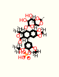 [2H]C([2H])([2H])Oc1cc([C@@H]2c3cc4c(cc3[C@@H](O[C@@H]3O[C@@H]5CO[C@@H](C)O[C@H]5[C@H](O)[C@H]3O)[C@@H]3[C@@H]2C(=O)OC3([2H])[2H])OC([2H])([2H])O4)cc(OC([2H])([2H])[2H])c1OP(=O)(O)O